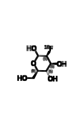 OC[C@H]1OC(O)[C@@H]([18F])[C@@H](O)[C@@H]1O